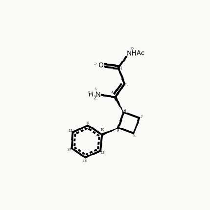 CC(=O)NC(=O)/C=C(\N)[C@H]1CC[C@H]1c1ccccc1